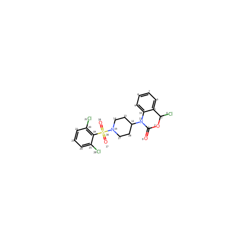 O=C1OC(Cl)c2ccccc2N1C1CCN(S(=O)(=O)c2c(Cl)cccc2Cl)CC1